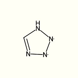 C1=N[N][N]N1